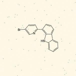 Brc1ccc(-c2cccc3c2[nH]c2ccccc23)nc1